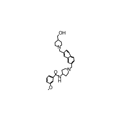 COc1cccc(C(=O)NC2CCN(Cc3ccc4ccc(CN5CCC(CO)CC5)cc4c3)CC2)c1